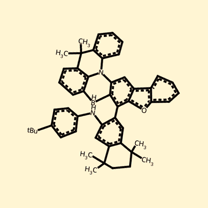 CC(C)(C)c1ccc(Nc2cc3c(cc2-c2c4c(cc5c2oc2ccccc25)N2c5ccccc5C(C)(C)c5cccc(c52)B4)C(C)(C)CCC3(C)C)cc1